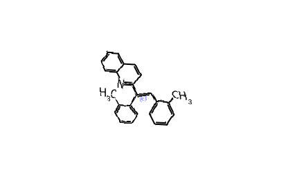 Cc1ccccc1/C=C(/c1ccc2ccccc2n1)c1ccccc1C